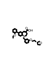 C1CCOC1.CCCOc1cccc(CN2CCC(C(=O)O)=Cc3cc(-c4ccccc4OCC)ccc32)c1